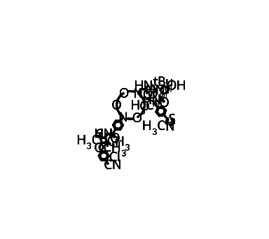 Cc1ncsc1-c1ccc([C@H](C)NC(=O)[C@@H]2C[C@@H](O)CN2C(=O)C(NC(=O)CN2CCOCCOCCN(c3ccc(C(=O)NC4C(C)(C)C(Oc5ccc(C#N)c(Cl)c5)C4(C)C)cc3)CCOCCOCC2)C(C)(C)C)cc1